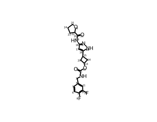 O=C(NCc1ccc(F)c(F)c1)OC1CC(c2cc(NC(=O)C3CCCO3)n[nH]2)C1